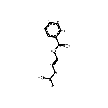 CC(O)CC=COC(=O)c1ccccc1